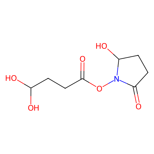 O=C(CCC(O)O)ON1C(=O)CCC1O